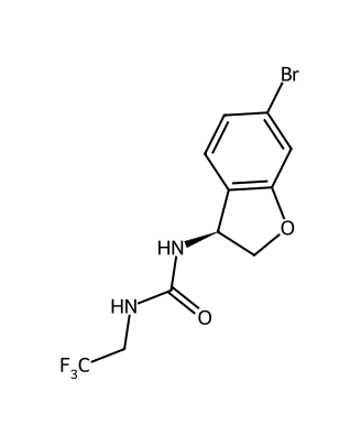 O=C(NCC(F)(F)F)N[C@@H]1COc2cc(Br)ccc21